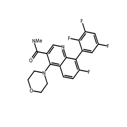 CNC(=O)c1cnc2c(-c3cc(F)cc(F)c3F)c(F)ccc2c1N1CCOCC1